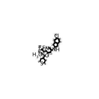 CN(C(=O)C1CCSCC1)C(c1ccc(N[C@@H]2Cc3ccc(Cl)cc3C2)cn1)C(F)(F)F